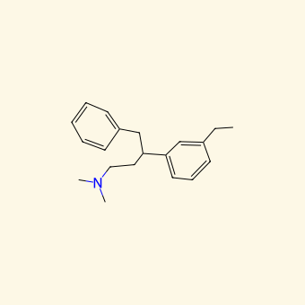 CCc1cccc(C(CCN(C)C)Cc2ccccc2)c1